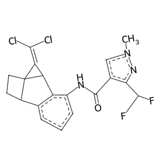 Cn1cc(C(=O)Nc2cccc3c2C2C(=C(Cl)Cl)C24CCC34)c(C(F)F)n1